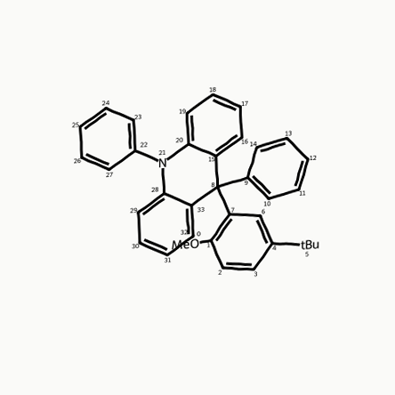 COc1ccc(C(C)(C)C)cc1C1(c2ccccc2)c2ccccc2N(c2ccccc2)c2ccccc21